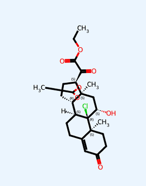 CCOC(=O)C(=O)[C@@]12CC[C@@]3(OC(C)O1)[C@@H]1CCC4=CC(=O)CC[C@]4(C)[C@@]1(Cl)[C@@H](O)C[C@]23C